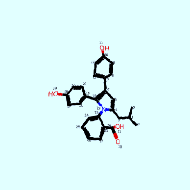 CC(C)Cc1cc(-c2ccc(O)cc2)c(-c2ccc(O)cc2)n1-c1ccccc1C(=O)O